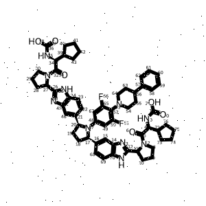 O=C(O)NC(C(=O)N1CCCC1c1nc2cc([C@H]3CC[C@@H](c4ccc5[nH]c(C6CCCN6C(=O)[C@@H](NC(=O)O)C6CCCC6)nc5c4)N3c3cc(F)c(N4CCC(c5ccccc5)CC4)c(F)c3)ccc2[nH]1)C1CCCC1